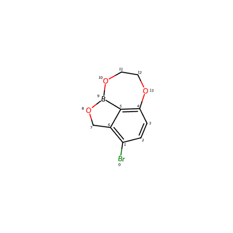 Brc1ccc2c3c1COB3OCCO2